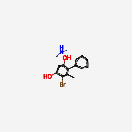 CNC.Cc1c(Br)c(O)cc(O)c1-c1ccccc1